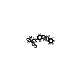 CS(=O)(=O)OCC(OS(C)(=O)=O)c1ccc2c(c1)NN(Cc1ccccc1)C2